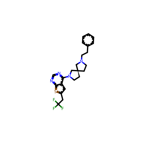 FC(F)(F)Cc1cc2c(N3CC[C@@]4(CCN(CCc5ccccc5)C4)C3)ncnc2s1